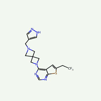 FC(F)(F)Cc1cc2c(N3CC4(CN(Cc5cn[nH]c5)C4)C3)ncnc2s1